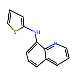 c1csc(Nc2cccc3cccnc23)c1